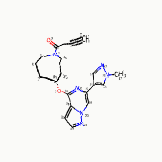 C#CC(=O)N1CCC[C@@H](Oc2nc(-c3cnn(C)c3)cn3nccc23)CC1